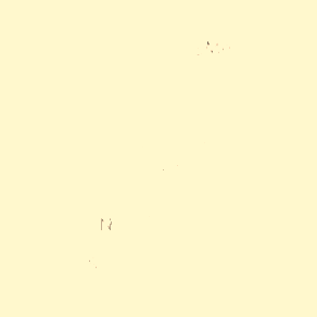 CSc1ccc(CN=S)cc1